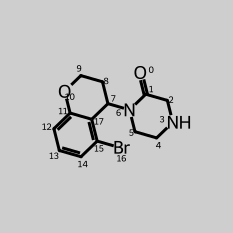 O=C1CNCCN1C1CCOc2cccc(Br)c21